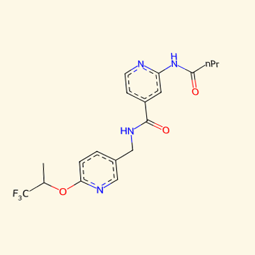 CCCC(=O)Nc1cc(C(=O)NCc2ccc(OC(C)C(F)(F)F)nc2)ccn1